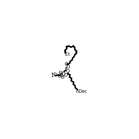 CC/C=C\C/C=C\C/C=C\C/C=C\CCCCCCC(=O)OC[C@H](COP(=O)([O-])OCC[N+](C)(C)C)OC(=O)CCCCCCCCCCCCCCCCCCC